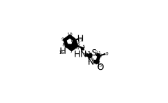 C[C@@H]1SC(NC[C@H]2C[C@@H]3CC[C@H]2C3)=NC1=O